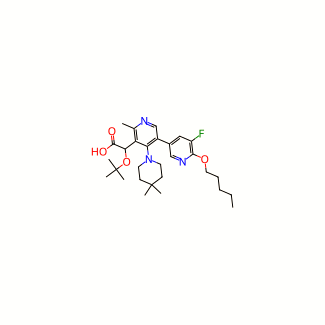 CCCCCOc1ncc(-c2cnc(C)c(C(OC(C)(C)C)C(=O)O)c2N2CCC(C)(C)CC2)cc1F